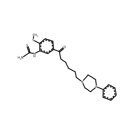 CSc1ccc(C(=O)CCCCCN2CCN(c3ccccc3)CC2)cc1NC(N)=S